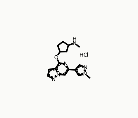 CNC1CCC(Oc2nc(-c3cnn(C)c3)cn3nccc23)C1.Cl